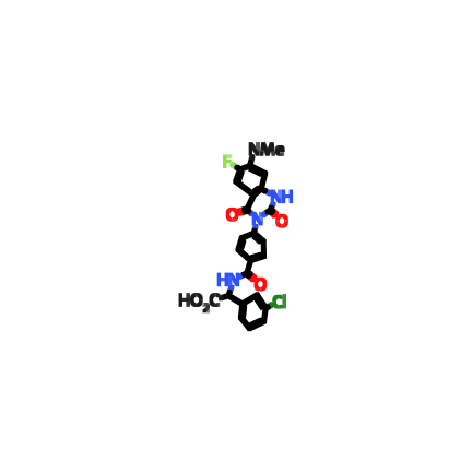 CNc1cc2[nH]c(=O)n(-c3ccc(C(=O)NC(C(=O)O)c4cccc(Cl)c4)cc3)c(=O)c2cc1F